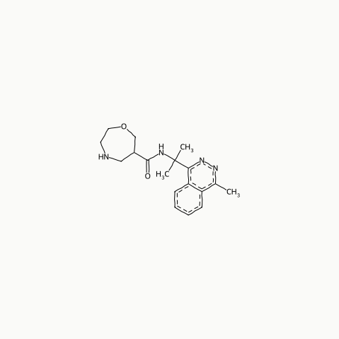 Cc1nnc(C(C)(C)NC(=O)C2CNCCOC2)c2ccccc12